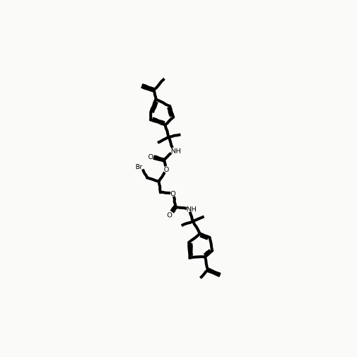 C=C(C)c1ccc(C(C)(C)NC(=O)OCC(CBr)OC(=O)NC(C)(C)c2ccc(C(=C)C)cc2)cc1